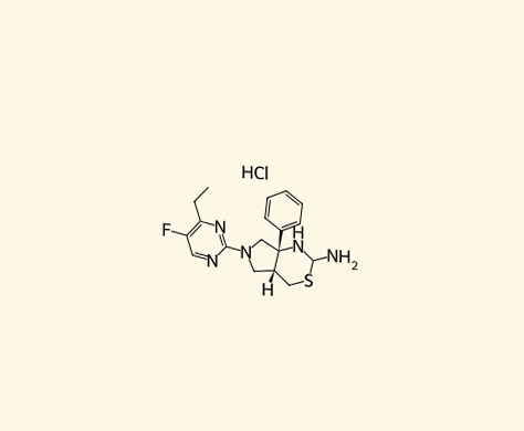 CCc1nc(N2C[C@H]3CSC(N)N[C@@]3(c3ccccc3)C2)ncc1F.Cl